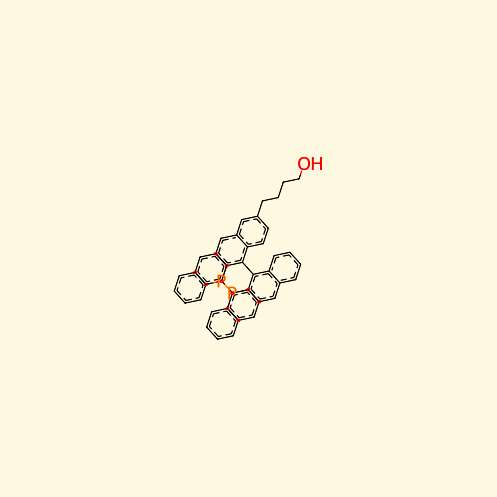 OCCCCc1ccc2c(-c3c(P(c4ccccc4)c4ccccc4)ccc4ccccc34)c(P(c3ccccc3)c3ccccc3)ccc2c1